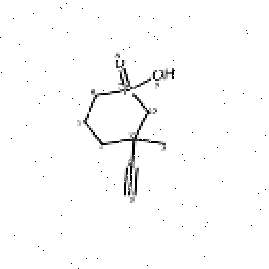 C#CC1(C)CCCP(=O)(O)C1